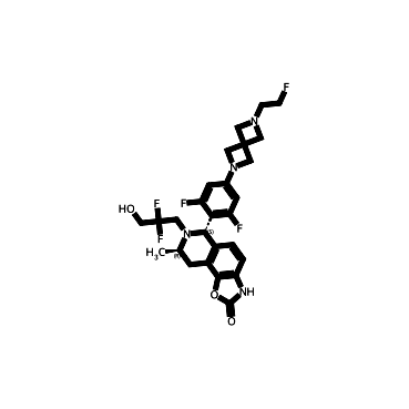 C[C@@H]1Cc2c(ccc3[nH]c(=O)oc23)[C@@H](c2c(F)cc(N3CC4(CN(CCF)C4)C3)cc2F)N1CC(F)(F)CO